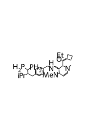 CCOC(=C1CCC1)C1/C(=C/NCc2ccc(CC(C(C)C)C(P)P)cc2)C(NC)C=CN1C